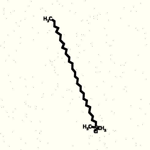 CCCCCCCCCCCCCCCCCCCCCCCCCCCCCC[Si](C)(C)Cl